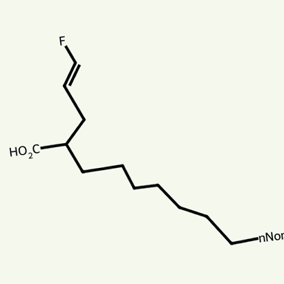 CCCCCCCCCCCCCCCCC(CC=CF)C(=O)O